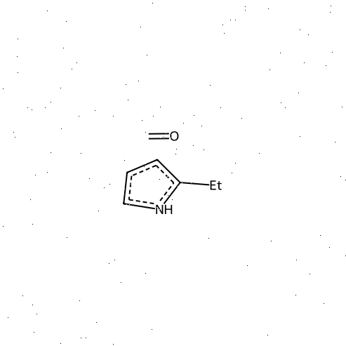 C=O.CCc1ccc[nH]1